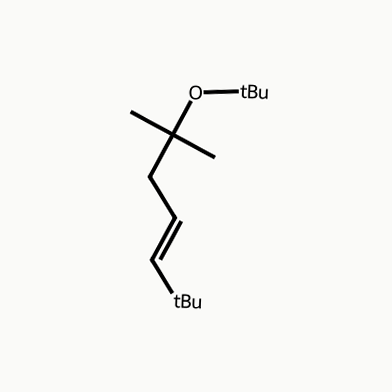 CC(C)(C)/C=C/CC(C)(C)OC(C)(C)C